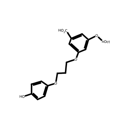 CCCCCCCCOc1cc(OCCCOc2ccc(O)cc2)cc(C(=O)O)c1